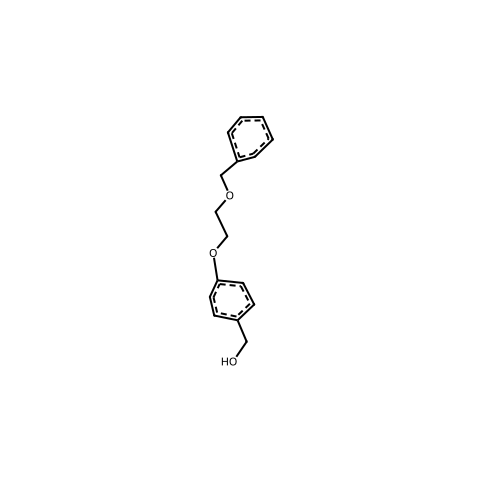 OCc1ccc(OCCOCc2ccccc2)cc1